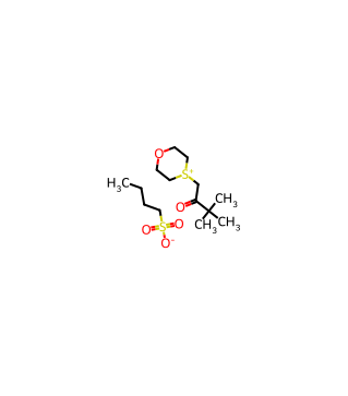 CC(C)(C)C(=O)C[S+]1CCOCC1.CCCCS(=O)(=O)[O-]